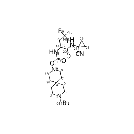 CCCCN1CCC2(CC1)CCN(OC(=O)N[C@@H](CC(C)(F)F)C(=O)NC1(C#N)CC1)CC2